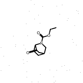 CCOC(=O)N1CC2CCC1C(=O)C2